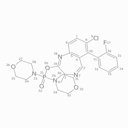 CC1N=Cc2c(ccc(Cl)c2-c2ccccc2F)N=C1OP(=O)(N1CCOCC1)N1CCOCC1